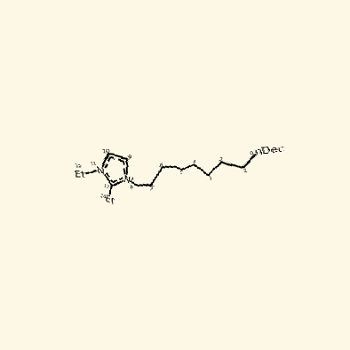 CCCCCCCCCCCCCCCCC[n+]1ccn(CC)c1CC